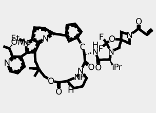 C=CC(=O)N1CC2(C1)CN([C@H](C(=O)N[C@H]1Cc3cccc(c3)-c3ccc4c(n3)c(c(-c3cccnc3[C@H](C)OC)n4CC)CC(C)(C)COC(=O)[C@@H]3CCCN(N3)C1=O)C(C)C)C(F)(F)O2